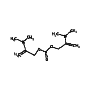 C=C(COC(=O)OCC(=C)N(C)C)N(C)C